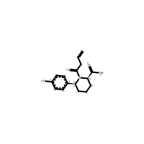 C=CCC(=O)N1[C@@H](C(=O)O)CCC[C@H]1c1ccc(F)cc1